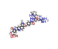 CC[C@@]1(O)C(=O)OCc2c1cc1n(c2=O)Cc2cc3c(CN(C)C)c(OCc4ccc(NC(=O)[C@H](CCCNC(=N)N)NC(=O)[C@@H](NC(C)C)C(C)C)cc4)ccc3nc2-1